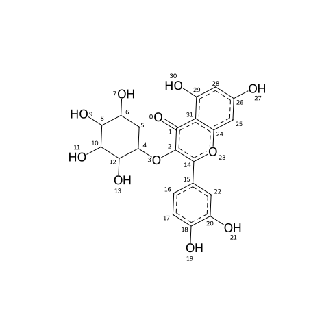 O=c1c(OC2CC(O)C(O)C(O)C2O)c(-c2ccc(O)c(O)c2)oc2cc(O)cc(O)c12